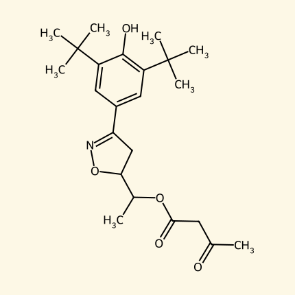 CC(=O)CC(=O)OC(C)C1CC(c2cc(C(C)(C)C)c(O)c(C(C)(C)C)c2)=NO1